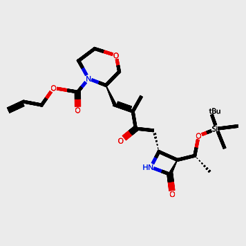 C=CCOC(=O)N1CCOC[C@H]1C=C(C)C(=O)C[C@H]1NC(=O)[C@@H]1[C@@H](C)O[Si](C)(C)C(C)(C)C